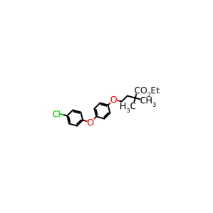 CCOC(=O)C(C)(C)CCOc1ccc(Oc2ccc(Cl)cc2)cc1